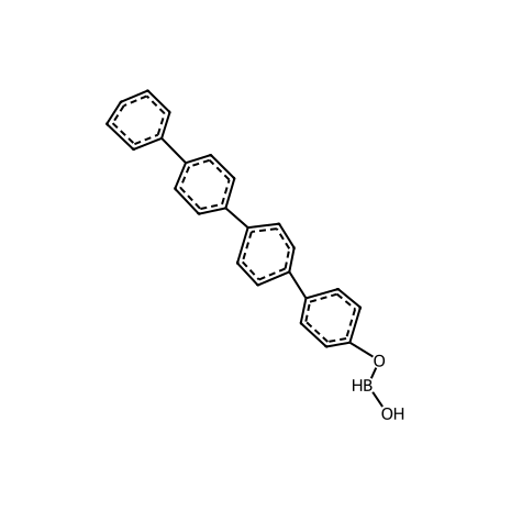 OBOc1ccc(-c2ccc(-c3ccc(-c4ccccc4)cc3)cc2)cc1